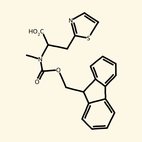 CN(C(=O)OCC1c2ccccc2-c2ccccc21)C(Cc1nccs1)C(=O)O